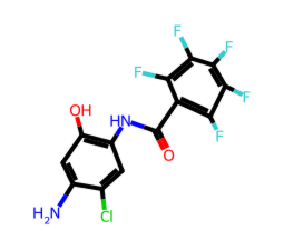 Nc1cc(O)c(NC(=O)c2c(F)c(F)c(F)c(F)c2F)cc1Cl